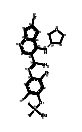 CCc1cc(O[Si](C)(C)C(C)(C)C)c(F)cc1/N=C(\N)c1cnn2cc(Br)cc2c1N[C@H]1CCOC1